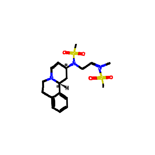 CN(CCN([C@@H]1CCN2CCc3ccccc3[C@@H]2C1)S(C)(=O)=O)S(C)(=O)=O